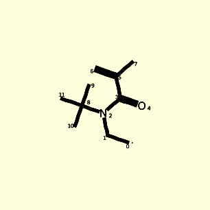 [CH2]CN(C(=O)C(=C)C)C(C)(C)C